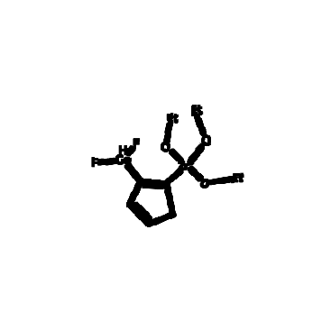 CC[O][Zr]([O]CC)([O]CC)[C]1=[C]([GeH]([F])[F])C=CC1